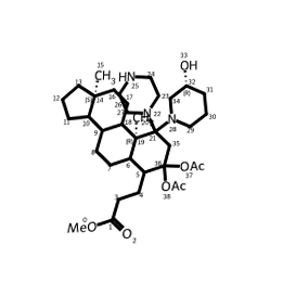 COC(=O)CCC1C2CCC3C4CCC[C@@]4(C)CCC3[C@@]2(C)C(N2CCNCC2)(N2CCC[C@@H](O)C2)CC1(OC(C)=O)OC(C)=O